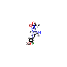 CC[C@H]1COC(=O)N1c1nc(C)nc(N[C@@H](C)c2cn(-c3ccc(OC)c(F)c3)cn2)n1